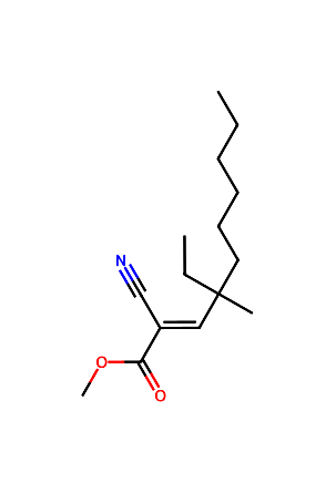 CCCCCCC(C)(/C=C(\C#N)C(=O)OC)CC